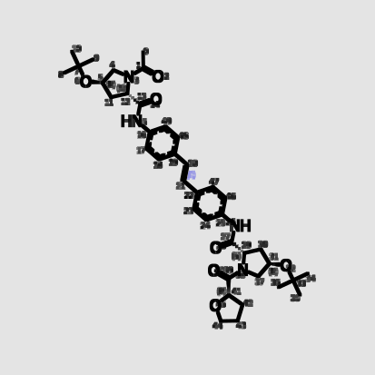 CC(=O)N1C[C@H](OC(C)(C)C)C[C@H]1C(=O)Nc1ccc(/C=C/c2ccc(NC(=O)[C@@H]3C[C@@H](OC(C)(C)C)CN3C(=O)[C@H]3CCCO3)cc2)cc1